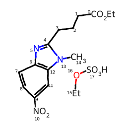 CCOC(=O)CCCc1nc2ccc([N+](=O)[O-])cc2n1C.CCOS(=O)(=O)O